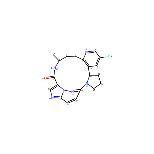 CC1CCc2ncc(F)cc2C2CCCN2c2ccc3ncc(n3n2)C(=O)N1